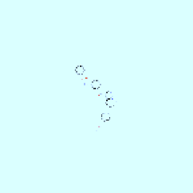 COCCOc1ccc(-c2cnc3[nH]cc(C(=O)c4c(F)ccc(NS(=O)(=O)c5ccc(CF)cc5)c4F)c3c2)cc1